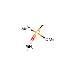 COP(C)(=O)OC.[SiH4]